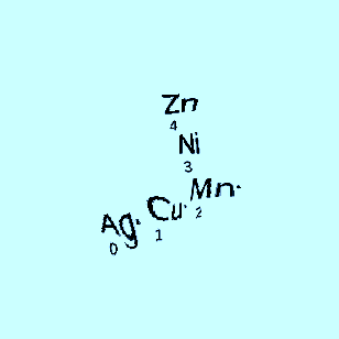 [Ag].[Cu].[Mn].[Ni].[Zn]